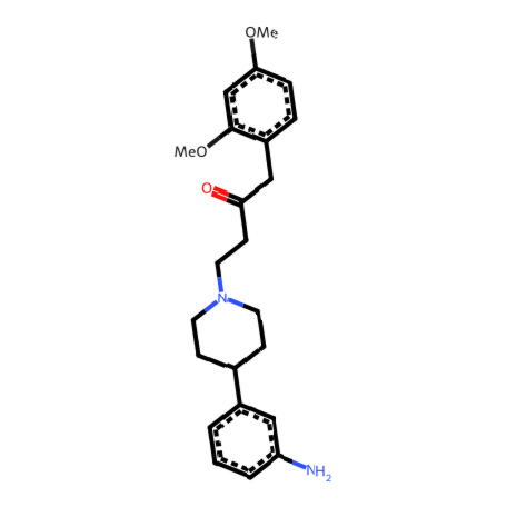 COc1ccc(CC(=O)CCN2CCC(c3cccc(N)c3)CC2)c(OC)c1